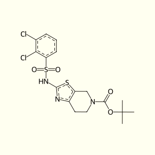 CC(C)(C)OC(=O)N1CCc2nc(NS(=O)(=O)c3cccc(Cl)c3Cl)sc2C1